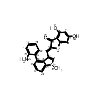 Cn1cc(C=C2Oc3cc(O)cc(O)c3C2=O)c2c(-c3ccccc3N)cccc21